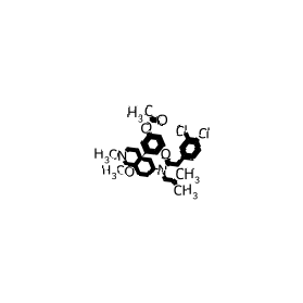 CO[C@]12CC[C@@H](N(CC(C)C)C(=O)Cc3ccc(Cl)c(Cl)c3)C[C@]1(c1cccc(OC(C)=O)c1)CCN(C)C2